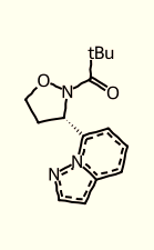 CC(C)(C)C(=O)N1OCC[C@H]1c1cccc2ccnn12